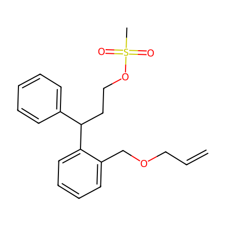 C=CCOCc1ccccc1C(CCOS(C)(=O)=O)c1ccccc1